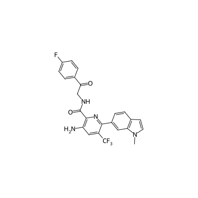 Cn1ccc2ccc(-c3nc(C(=O)NCC(=O)c4ccc(F)cc4)c(N)cc3C(F)(F)F)cc21